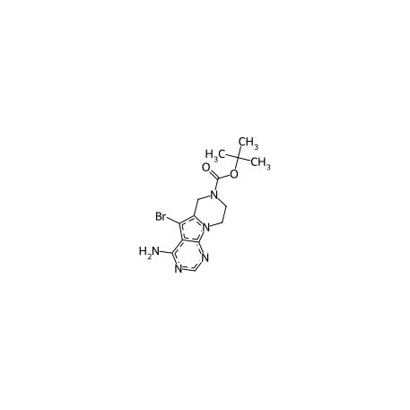 CC(C)(C)OC(=O)N1CCn2c(c(Br)c3c(N)ncnc32)C1